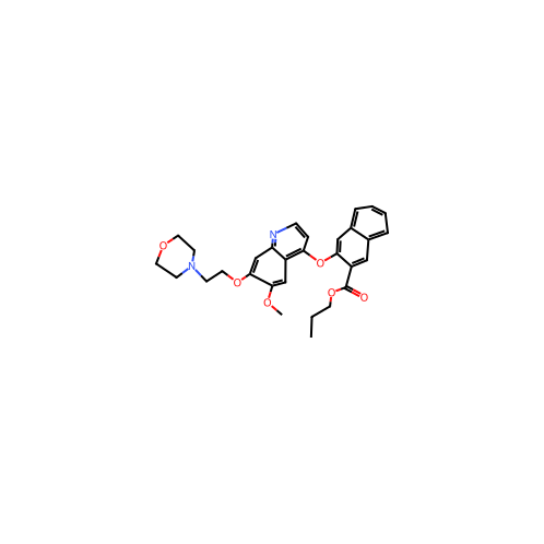 CCCOC(=O)c1cc2ccccc2cc1Oc1ccnc2cc(OCCN3CCOCC3)c(OC)cc12